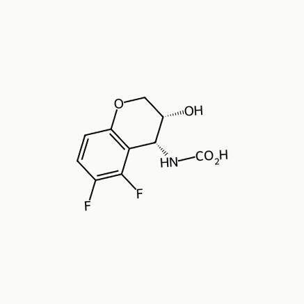 O=C(O)N[C@@H]1c2c(ccc(F)c2F)OC[C@@H]1O